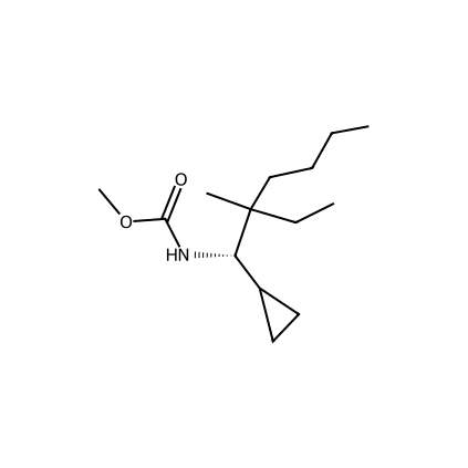 CCCCC(C)(CC)[C@@H](NC(=O)OC)C1CC1